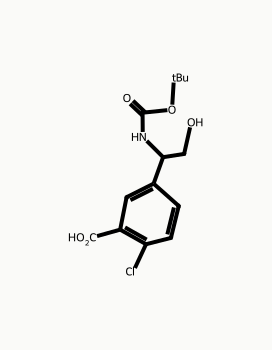 CC(C)(C)OC(=O)NC(CO)c1ccc(Cl)c(C(=O)O)c1